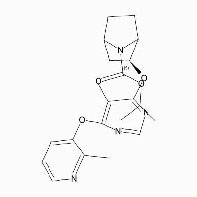 Cc1ncccc1Oc1ncnc(O[C@H]2CC3CCC2N3C(=O)OC(C)C)c1C